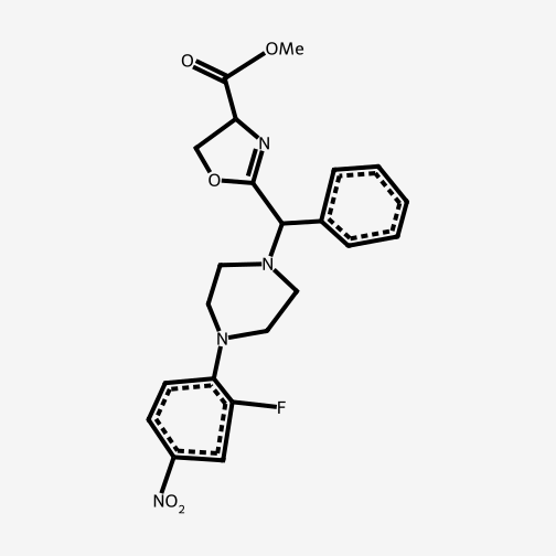 COC(=O)C1COC(C(c2ccccc2)N2CCN(c3ccc([N+](=O)[O-])cc3F)CC2)=N1